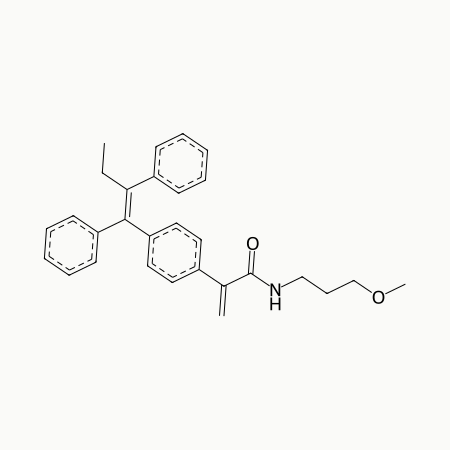 C=C(C(=O)NCCCOC)c1ccc(/C(=C(/CC)c2ccccc2)c2ccccc2)cc1